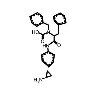 N[C@@H]1C[C@H]1c1ccc(NC(=O)C(Cc2ccccc2)N(Cc2ccccc2)C(=O)O)cc1